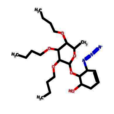 CCCCOC1C(C)OC(OC2C(O)CC=CC2N=[N+]=[N-])C(OCCCC)C1OCCCC